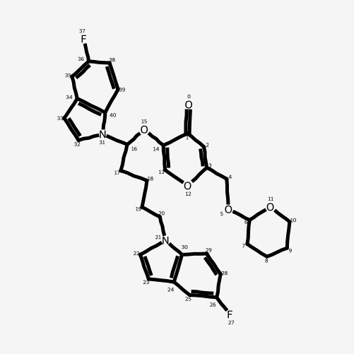 O=c1cc(COC2CCCCO2)occ1OC(CCCCn1ccc2cc(F)ccc21)n1ccc2cc(F)ccc21